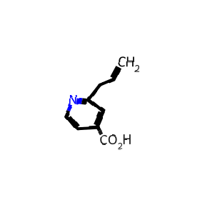 C=CCc1cc(C(=O)O)ccn1